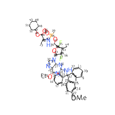 CCOC1=NC(NC(c2ccccc2)(c2ccccc2)c2ccc(OC)cc2)=NC2C1N=CN2[C@@H]1O[C@](F)(COP(C)(=O)N[C@@H](C)C(=O)OC2CCCCC2)[C@@H](C)[C@@]1(C)F